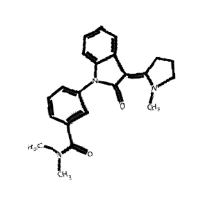 CN(C)C(=O)c1cccc(N2C(=O)C(=C3CCCN3C)c3ccccc32)c1